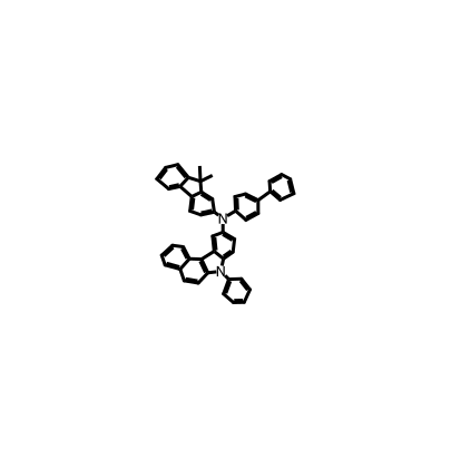 CC1(C)c2ccccc2-c2ccc(N(c3ccc(-c4ccccc4)cc3)c3ccc4c(c3)c3c5ccccc5ccc3n4-c3ccccc3)cc21